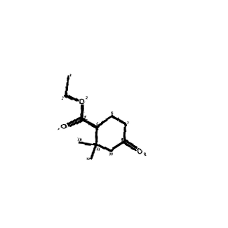 CCOC(=O)C1CCC(=O)CC1(C)C